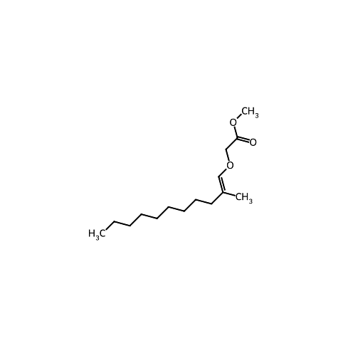 CCCCCCCCCC(C)=COCC(=O)OC